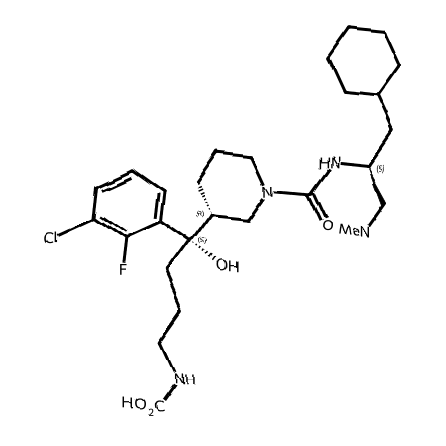 CNC[C@H](CC1CCCCC1)NC(=O)N1CCC[C@@H]([C@@](O)(CCCNC(=O)O)c2cccc(Cl)c2F)C1